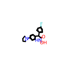 O=C(NO)C(c1ccc(F)cc1)c1ccc(N2CCCC2)cc1